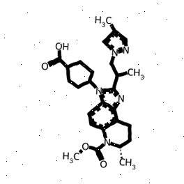 COC(=O)N1c2ccc3c(nc(C(C)Cn4cc(C)cn4)n3C3CCC(C(=O)O)CC3)c2CC[C@@H]1C